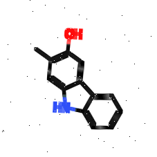 Cc1cc2[nH]c3ccccc3c2cc1O